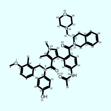 COc1cccc(CN(C(=O)c2c(-c3cc(NC(C)=O)ccc3C(=O)N3Cc4ccccc4C[C@H]3CN3CCOCC3)cn(C)c2C)c2ccc(O)cc2)c1C